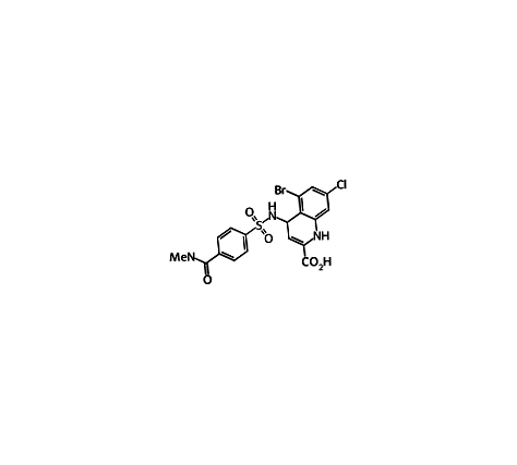 CNC(=O)c1ccc(S(=O)(=O)NC2C=C(C(=O)O)Nc3cc(Cl)cc(Br)c32)cc1